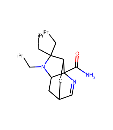 CC(C)CN1C2CC3C=NC2(C(N)=O)C(C3)C1(CC(C)C)CC(C)C